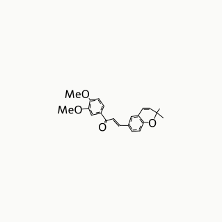 COc1ccc(C(=O)C=Cc2ccc3c(c2)C=CC(C)(C)O3)cc1OC